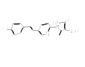 CC(=O)Nc1c(C)[nH]n(-c2ccc(C=Cc3ccc(C(F)(F)F)cc3)cn2)c1=O